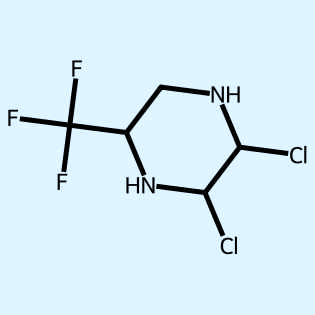 FC(F)(F)C1CNC(Cl)C(Cl)N1